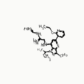 CCOc1ncccc1-c1cc(NCC(=N)NC=N)c2c(n1)c(C)nn2C(C)C